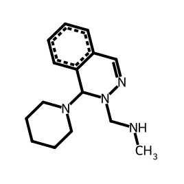 CNCN1N=Cc2ccccc2C1N1CCCCC1